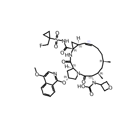 COc1cnc(O[C@@H]2C[C@H]3C(=O)N[C@]4(C(=O)NS(=O)(=O)C5(CF)CC5)C[C@H]4/C=C\CC[C@@H](C)C[C@@H](C)[C@H](N(C(=O)O)C4COC4)C(=O)N3C2)c2ccccc12